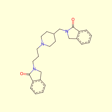 O=C1c2ccccc2CN1CCCN1CCC(CN2Cc3ccccc3C2=O)CC1